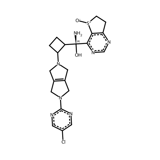 N[C@](O)(c1ncnc2c1[S+]([O-])CC2)C1CCC1N1CC2=C(CN(c3ncc(Cl)cn3)C2)C1